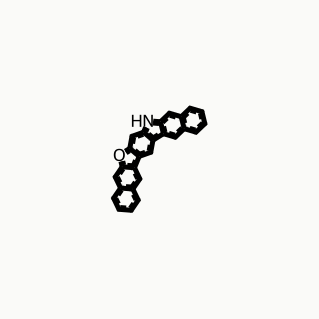 c1ccc2cc3c(cc2c1)[nH]c1cc2oc4cc5ccccc5cc4c2cc13